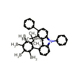 Bc1c(B)c(B)c(-c2cccc3c2c2c(C(C)(C)C)c(-c4ccccc4)ccc2n3-c2ccccc2)c(B)c1B